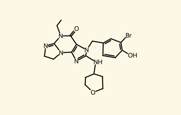 CCN1C(=O)c2c(nc(NC3CCOCC3)n2Cc2ccc(O)c(Br)c2)N2CCN=C12